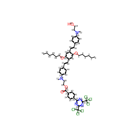 CCCCCCOc1cc(/C=C/c2ccc(N(C)CCOC(=O)c3ccc(-c4nc(C(Cl)(Cl)Cl)nc(C(Cl)(Cl)Cl)n4)cc3)cc2)c(OCCCCCC)cc1/C=C/c1ccc(N(C)CCO)cc1